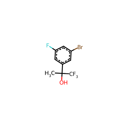 CC(O)(c1cc(F)cc(Br)c1)C(F)(F)F